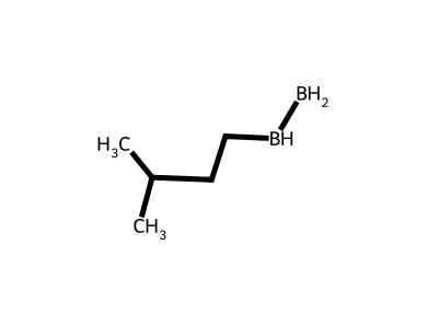 BBCCC(C)C